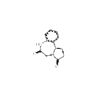 O=C1CN2C(=O)CCC2c2ccccc2N1